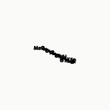 COCCOCCOCCOCCNC(=O)CCCCC1CCSS1